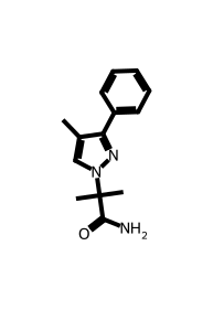 Cc1cn(C(C)(C)C(N)=O)nc1-c1ccccc1